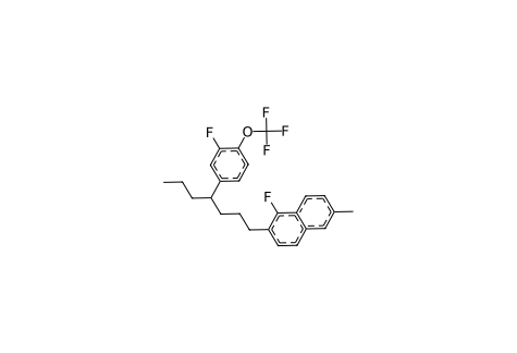 CCCC(CCCc1ccc2cc(C)ccc2c1F)c1ccc(OC(F)(F)F)c(F)c1